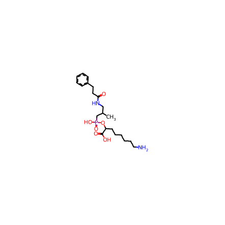 CC(CNC(=O)CCc1ccccc1)CP(=O)(O)OC(CCCCCCN)C(=O)O